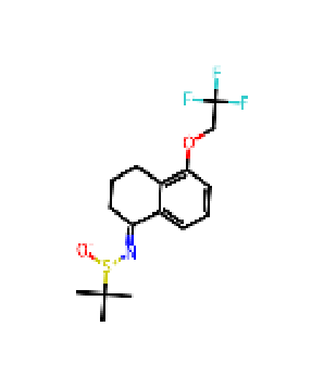 CC(C)(C)[S+]([O-])N=C1CCCc2c(OCC(F)(F)F)cccc21